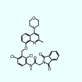 Cc1cc(N2CCOCC2)c2cccc(OCc3c(Cl)ccc(N(C)C(=O)CN4C(=O)c5ccccc5C4=O)c3Cl)c2n1